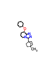 CC12CCC(c3nnc4c(Oc5ccccc5)cccn34)(CC1)C2